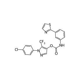 O=C(Nc1cccc(-c2nccs2)c1)Oc1cnn(-c2ccc(Cl)cc2)c1C(F)(F)F